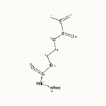 C=C(C)C(=O)OCCOC(=O)NCCCCCC